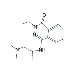 CCn1nc(NC(C)CN(C)C)c2ccccc2c1=O